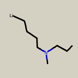 [Li][CH2]CCCN(C)CCC